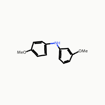 COc1ccc(Nc2cccc(OC)c2)cc1